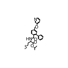 CSCCC(NC(=O)c1ccc(COc2cccnc2)cc1-c1ccccc1)C(=O)OC(C)C